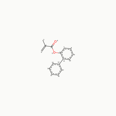 C=C(C)C(=O)Oc1ccccc1-c1ccccc1